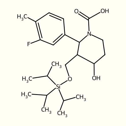 Cc1ccc(C2C(CO[Si](C(C)C)(C(C)C)C(C)C)C(O)CCN2C(=O)O)cc1F